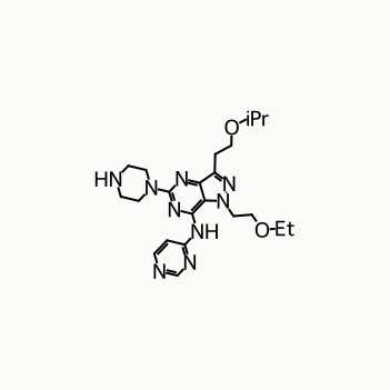 CCOCCn1nc(CCOC(C)C)c2nc(N3CCNCC3)nc(Nc3ccncn3)c21